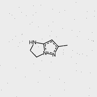 Cc1cc2n(n1)CCN2